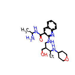 CCC(NC1CCOCC1)C(CO)CNc1nc2ccccc2cc1C(=O)NC(C)N